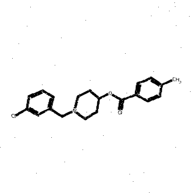 Cc1ccc(C(=O)OC2CCN(Cc3cccc(Cl)c3)CC2)cc1